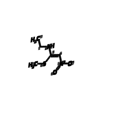 CCN/C(=C/[N+](=O)[O-])SC